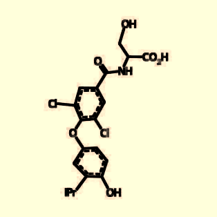 CC(C)c1cc(Oc2c(Cl)cc(C(=O)NC(CO)C(=O)O)cc2Cl)ccc1O